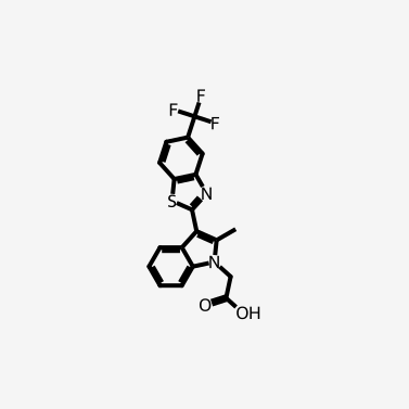 Cc1c(-c2nc3cc(C(F)(F)F)ccc3s2)c2ccccc2n1CC(=O)O